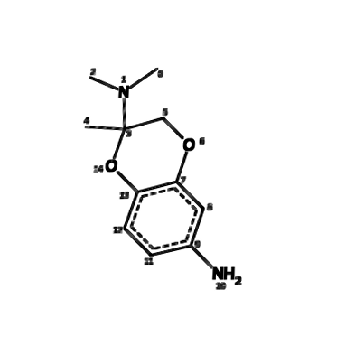 CN(C)C1(C)COc2cc(N)ccc2O1